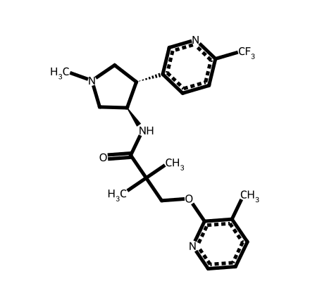 Cc1cccnc1OCC(C)(C)C(=O)N[C@H]1CN(C)C[C@@H]1c1ccc(C(F)(F)F)nc1